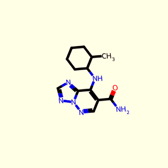 CC1CCCCC1Nc1c(C(N)=O)cnn2ncnc12